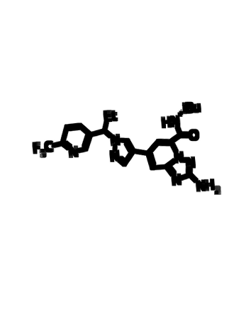 CCC(c1ccc(C(F)(F)F)nc1)n1cc(-c2cc(C(=O)N[C@@H](C)CC)n3nc(N)nc3c2)cn1